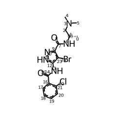 C[C@@H](CN(C)C)NC(=O)c1n[nH]c(NC(=O)c2ccccc2Cl)c1Br